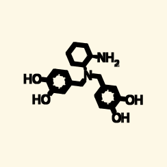 N[C@@H]1CCCC[C@H]1N(Cc1ccc(O)c(O)c1)Cc1ccc(O)c(O)c1